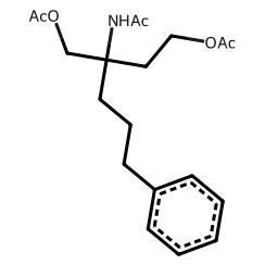 CC(=O)NC(CCCc1ccccc1)(CCOC(C)=O)COC(C)=O